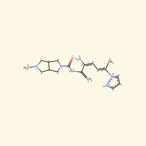 C=C(NC(=O)N1CC2CN(C)CC2C1)/C(N)=C\C=C(/C)n1cccn1